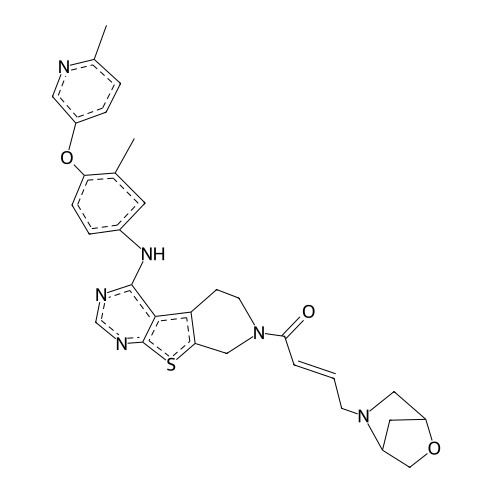 Cc1ccc(Oc2ccc(Nc3ncnc4sc5c(c34)CCN(C(=O)/C=C/CN3CC4CC3CO4)C5)cc2C)cn1